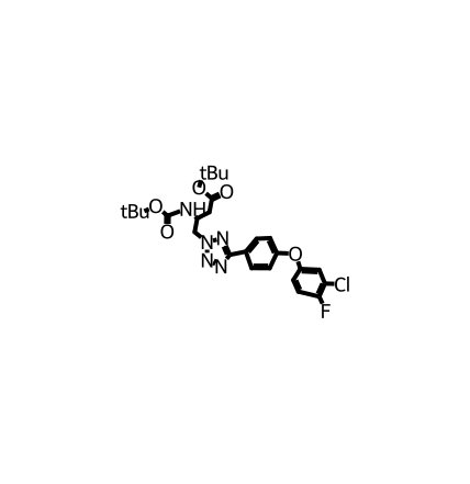 CC(C)(C)OC(=O)CC(Cn1nnc(-c2ccc(Oc3ccc(F)c(Cl)c3)cc2)n1)NC(=O)OC(C)(C)C